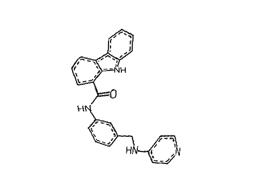 O=C(Nc1cccc(CNc2ccncc2)c1)c1cccc2c1[nH]c1ccccc12